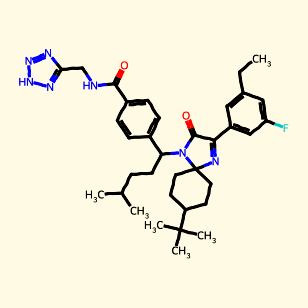 CCc1cc(F)cc(C2=NC3(CCC(C(C)(C)C)CC3)N(C(CCC(C)C)c3ccc(C(=O)NCc4nn[nH]n4)cc3)C2=O)c1